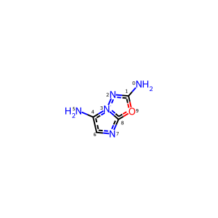 Nc1nn2c(N)cnc2o1